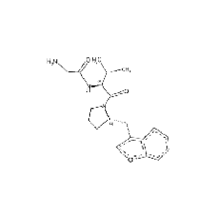 CC(C)[C@H](NC(=O)CN)C(=O)N1CCC[C@H]1Cc1coc2ccccc12